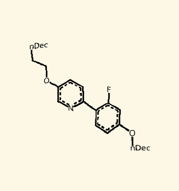 CCCCCCCCCCCCOc1ccc(-c2ccc(OCCCCCCCCCC)cc2F)nc1